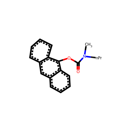 CCCN(C)C(=O)Oc1c2ccccc2cc2ccccc12